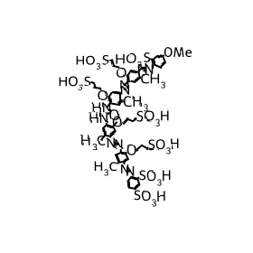 COc1ccc(N=Nc2cc(OCCCS(=O)(=O)O)c(N=Nc3cc(OCCCS(=O)(=O)O)c(NC(=O)Nc4cc(C)c(N=Nc5cc(C)c(N=Nc6ccc(S(=O)(=O)O)cc6S(=O)(=O)O)cc5OCCCS(=O)(=O)O)cc4OCCCS(=O)(=O)O)cc3C)cc2C)c(S(=O)(=O)O)c1